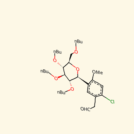 CCCCOC[C@H]1O[C@@H](c2cc(CC=O)c(Cl)cc2OC)[C@H](OCCCC)[C@@H](OCCCC)[C@@H]1OCCCC